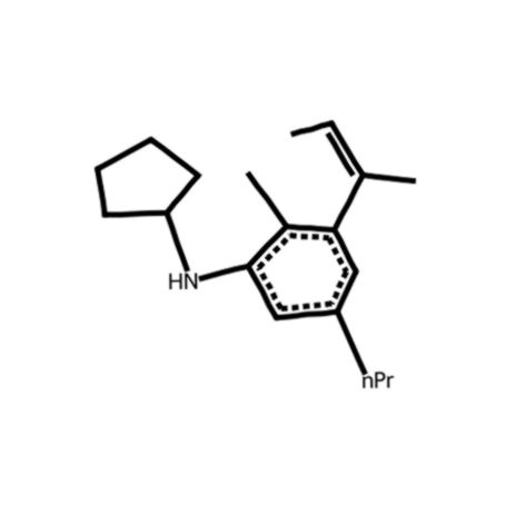 C/C=C(/C)c1cc(CCC)cc(NC2CCCC2)c1C